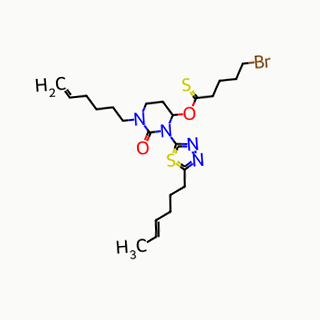 C=CCCCCN1CCC(OC(=S)CCCCBr)N(c2nnc(CCCC=CC)s2)C1=O